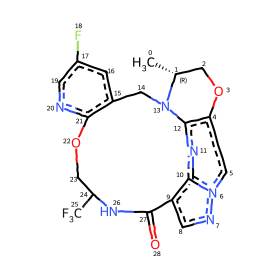 C[C@@H]1COc2cn3ncc4c3nc2N1Cc1cc(F)cnc1OCC(C(F)(F)F)NC4=O